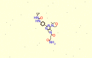 CC1COCCN1c1nc(-c2ccc(NC(=O)NC3CC3)cc2)nc2c1CN(C(=O)CCC(N)=O)C2